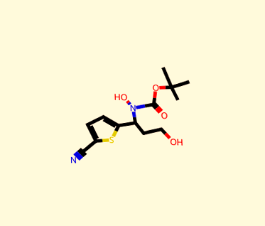 CC(C)(C)OC(=O)N(O)C(CCO)c1ccc(C#N)s1